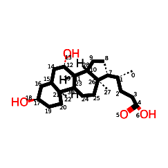 C[C@H](CCC(=O)O)[C@H]1CC[C@H]2[C@@H]3[C@@H](O)CC4C[C@H](O)CC[C@]4(C)[C@H]3CC[C@]12C